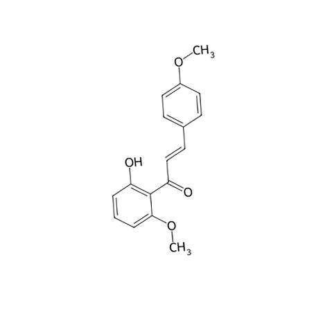 COc1ccc(C=CC(=O)c2c(O)cccc2OC)cc1